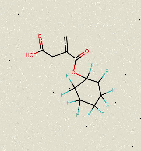 C=C(CC(=O)O)C(=O)OC1(F)C(F)C(F)(F)C(F)(F)C(F)(F)C1(F)F